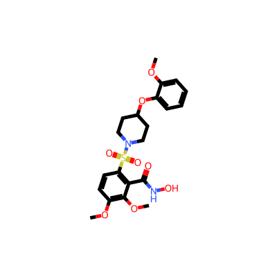 COc1ccccc1OC1CCN(S(=O)(=O)c2ccc(OC)c(OC)c2C(=O)NO)CC1